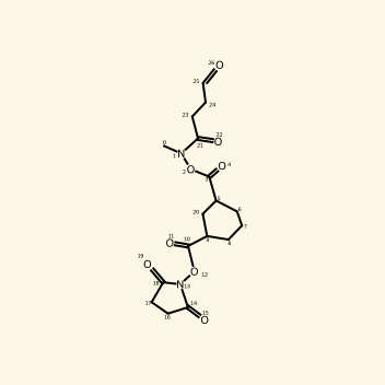 CN(OC(=O)C1CCCC(C(=O)ON2C(=O)CCC2=O)C1)C(=O)CCC=O